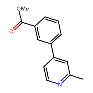 COC(=O)c1cccc(-c2ccnc(C)c2)c1